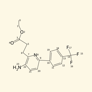 CCOC(=O)CCc1nc(-c2ccc(C(F)(F)F)cc2)ccc1N